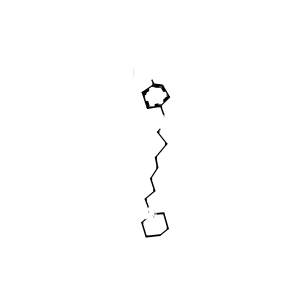 Oc1ccc(OCCCCCCCN2CCCCC2)cc1